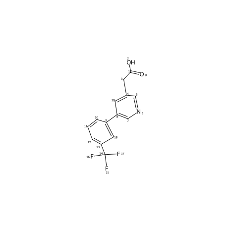 O=C(O)Cc1cncc(-c2cccc(C(F)(F)F)c2)c1